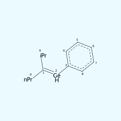 CCC[C](=[GeH][c]1ccccc1)C(C)C